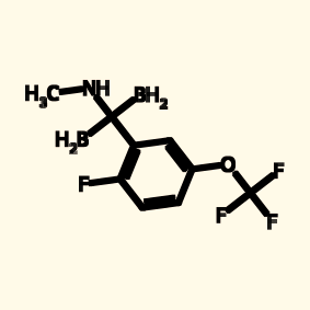 BC(B)(NC)c1cc(OC(F)(F)F)ccc1F